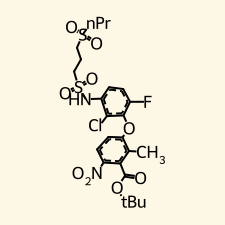 CCCS(=O)(=O)CCCS(=O)(=O)Nc1ccc(F)c(Oc2ccc([N+](=O)[O-])c(C(=O)OC(C)(C)C)c2C)c1Cl